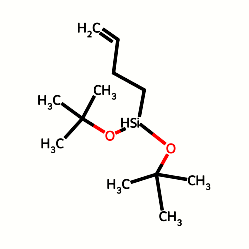 C=CCC[SiH](OC(C)(C)C)OC(C)(C)C